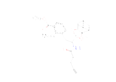 C#CCCC(=O)NC(Cc1cccc(C(=O)OC(C)(C)C)c1OC)B1OC2CC3CC(C3(C)C)C2(C)O1